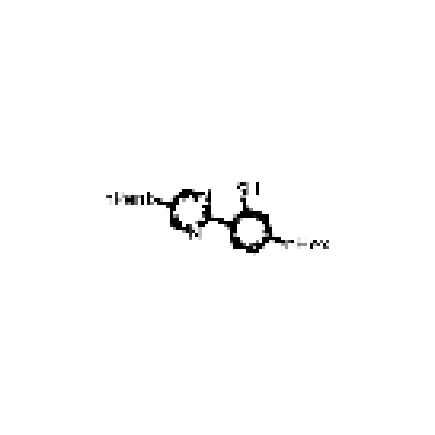 CCCCCCc1ccc(-c2ncc(CCCCC)cn2)c(S)c1